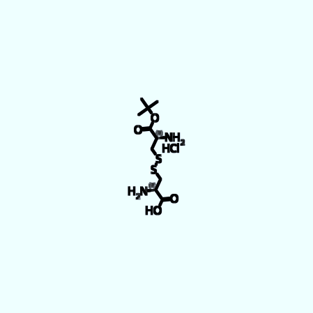 CC(C)(C)OC(=O)[C@@H](N)CSSC[C@H](N)C(=O)O.Cl